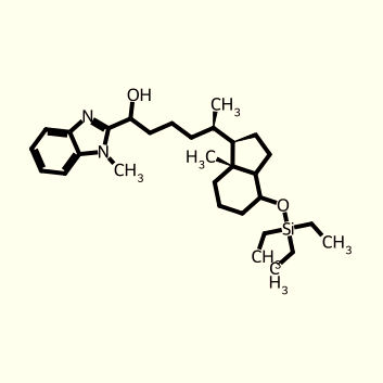 CC[Si](CC)(CC)OC1CCC[C@@]2(C)C1CC[C@@H]2[C@H](C)CCCC(O)c1nc2ccccc2n1C